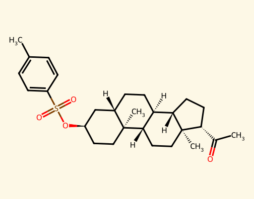 CC(=O)[C@H]1CC[C@H]2[C@@H]3CC[C@H]4C[C@H](OS(=O)(=O)c5ccc(C)cc5)CC[C@]4(C)[C@H]3CC[C@]12C